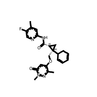 Cc1cc(NC(=O)[C@@H]2C[C@@]2(COc2cc(=O)n(C)nc2C)C2C=CC=CC2)ncc1F